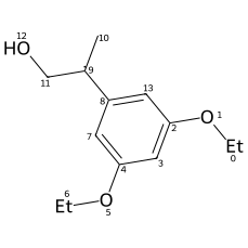 CCOc1cc(OCC)cc([C](C)CO)c1